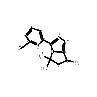 CC1CC(C)(C)n2c(-c3cccc(Br)n3)nnc21